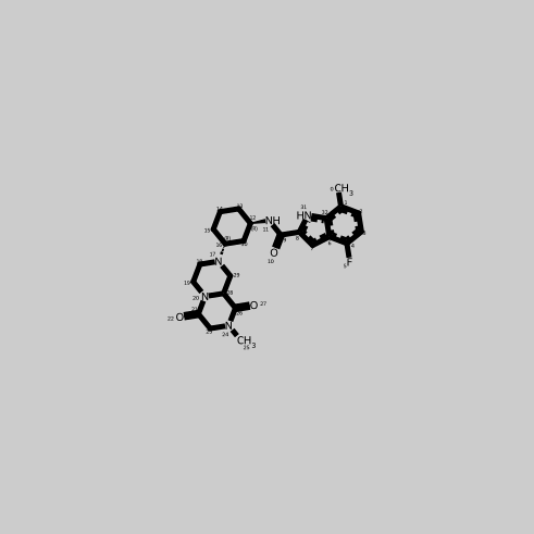 Cc1ccc(F)c2cc(C(=O)N[C@@H]3CCC[C@@H](N4CCN5C(=O)CN(C)C(=O)C5C4)C3)[nH]c12